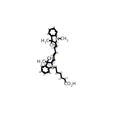 CN1c2ccccc2C(C)(C)C1/C=C/C=C/C=C1/N(CCCCCC(=O)O)c2ccccc2C1(C)C